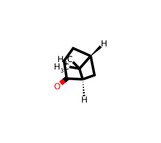 CC1(C)[C@@H]2CCC(=O)[C@@H]1C2